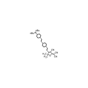 CCCCN(CCCC)c1ccc(C=Cc2ccc(C=CC3=C(C#N)C(=C(C#N)C#N)OC3(C)C)cc2)cc1